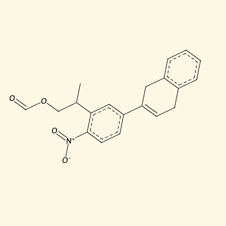 CC(COC=O)c1cc(C2=CCc3ccccc3C2)ccc1[N+](=O)[O-]